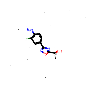 C[C@H](O)c1nc(-c2ccc(N)c(F)c2)no1